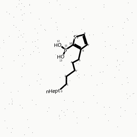 CCCCCCCCCCCCc1ccsc1B(O)O